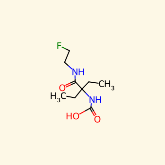 CCC(CC)(NC(=O)O)C(=O)NCCF